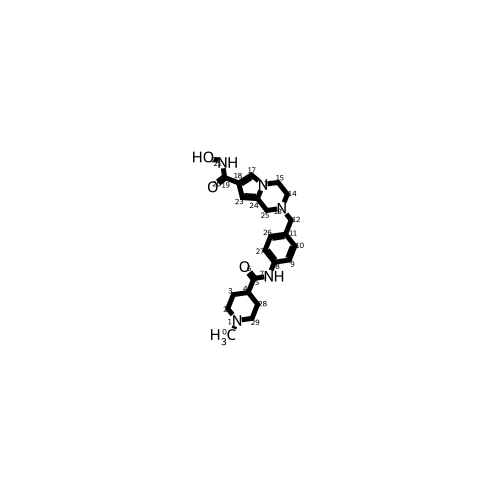 CN1CCC(C(=O)Nc2ccc(CN3CCn4cc(C(=O)NO)cc4C3)cc2)CC1